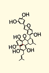 CC(C)=CCc1c(O)ccc(C2CC(C)=CC(c3cc4cc(-c5cc(O)cc(O)c5)oc4cc3O)C2C(=O)c2ccc(O)cc2O)c1O